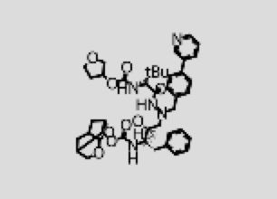 CC(C)(C)[C@H](NC(=O)OC1CCOC1)C(=O)NN(Cc1ccc(-c2cccnc2)cc1)C[C@H](O)[C@H](Cc1ccccc1)NC(=O)OC1C2COC3OC1CC3C2